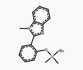 Cn1c(-c2ccccc2O[Si](C)(C)C(C)(C)C)nc2ccccc21